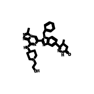 Cc1nnc2c(NC3CCN(CCO)CC3)nc(-c3nc4cc(C5=NNC(=O)CC5C)ccc4n3Cc3ccccc3)cn12